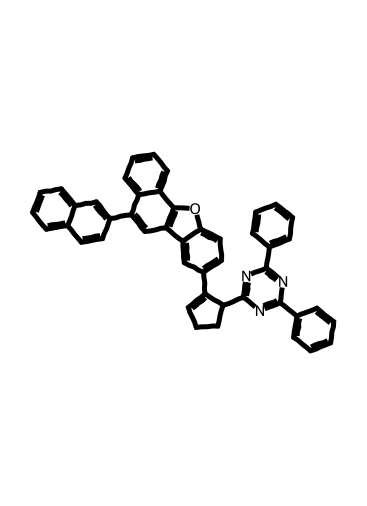 C1=C(c2ccc3oc4c5ccccc5c(-c5ccc6ccccc6c5)cc4c3c2)C(c2nc(-c3ccccc3)nc(-c3ccccc3)n2)CC1